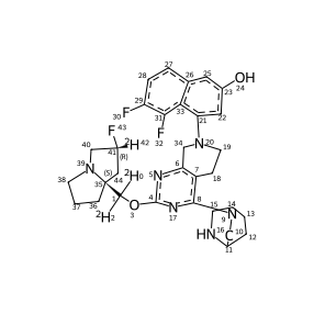 [2H]C([2H])(Oc1nc2c(c(N3CC4CCC3CN4)n1)CCN(c1cc(O)cc3ccc(F)c(F)c13)C2)[C@@]12CCCN1C[C@]([2H])(F)C2